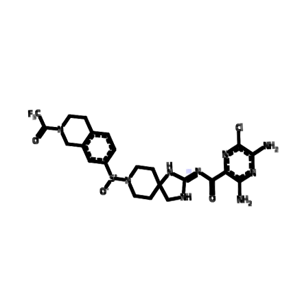 Nc1nc(N)c(C(=O)/N=C2\NCC3(CCN([S+]([O-])c4ccc5c(c4)CN(C(=O)C(F)(F)F)CC5)CC3)N2)nc1Cl